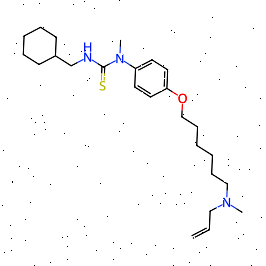 C=CCN(C)CCCCCCOc1ccc(N(C)C(=S)NCC2CCCCC2)cc1